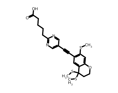 CSc1cc2c(cc1C#Cc1cnc(CCCCC(=O)O)nc1)C(SC)(SC)CCO2